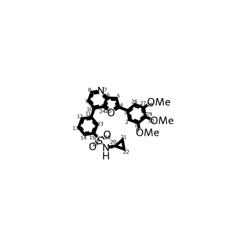 COc1cc(-c2cc3nccc(-c4cccc(S(=O)(=O)NC5CC5)c4)c3o2)cc(OC)c1OC